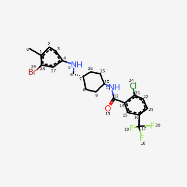 Cc1ccc(NC[C@H]2CC[C@H](NC(=O)c3cc(C(F)(F)F)ccc3Cl)CC2)cc1Br